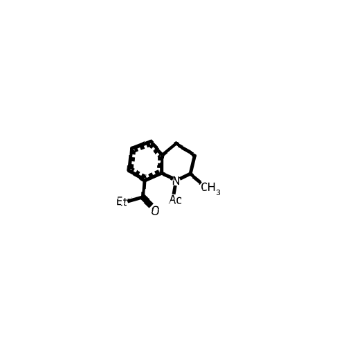 CCC(=O)c1cccc2c1N(C(C)=O)C(C)CC2